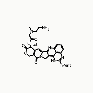 CCCCCC1=Nc2cccc3nc4c(c(c23)N1)Cn1c-4cc2c(c1=O)COC(=O)[C@@]2(CC)OC(=O)CN(C)CCN